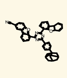 N#Cc1ccc2oc3c(-c4nc(-c5ccc(C67CC8CC(CC(C8)C6)C7)cc5)nc(-c5cccc6c5OC5C=CC=CC65)n4)cccc3c2c1